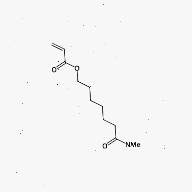 C=CC(=O)OCCCCCCC(=O)NC